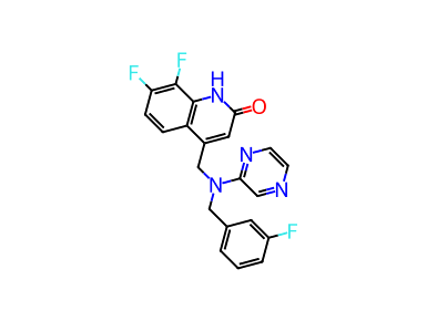 O=c1cc(CN(Cc2cccc(F)c2)c2cnccn2)c2ccc(F)c(F)c2[nH]1